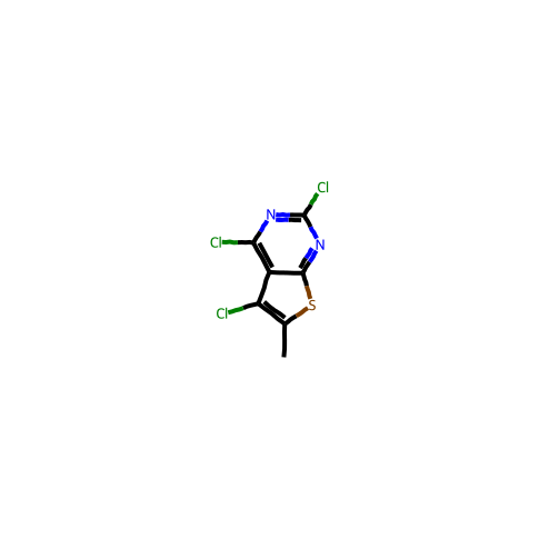 Cc1sc2nc(Cl)nc(Cl)c2c1Cl